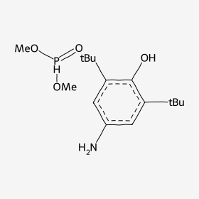 CC(C)(C)c1cc(N)cc(C(C)(C)C)c1O.CO[PH](=O)OC